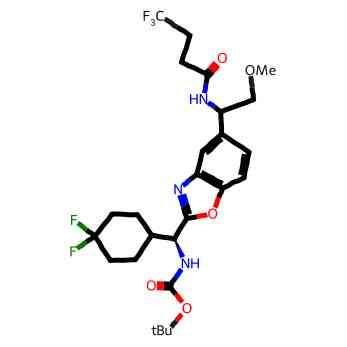 COCC(NC(=O)CCC(F)(F)F)c1ccc2oc([C@@H](NC(=O)OC(C)(C)C)C3CCC(F)(F)CC3)nc2c1